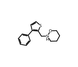 c1ccc(-c2ccsc2C[SiH]2CCCCO2)cc1